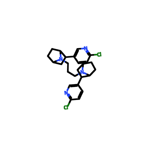 Clc1ccc(C2CC3CCC2N3CCCN2C3CCC2C(c2ccc(Cl)nc2)C3)cn1